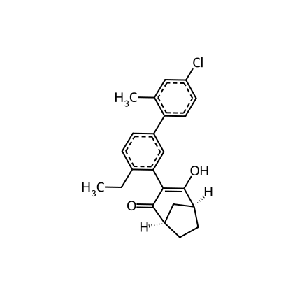 CCc1ccc(-c2ccc(Cl)cc2C)cc1C1=C(O)[C@H]2CC[C@H](C2)C1=O